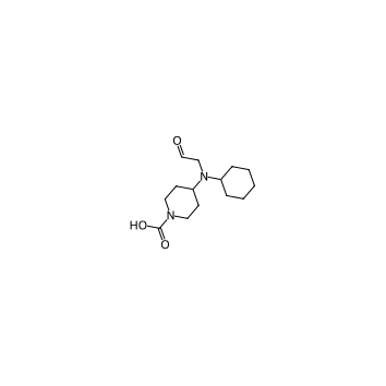 O=CCN(C1CCCCC1)C1CCN(C(=O)O)CC1